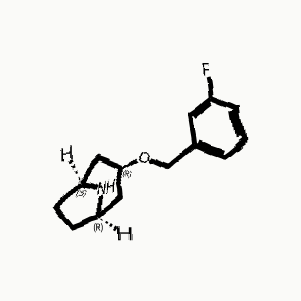 Fc1cccc(CO[C@H]2C[C@H]3CC[C@@H](C2)N3)c1